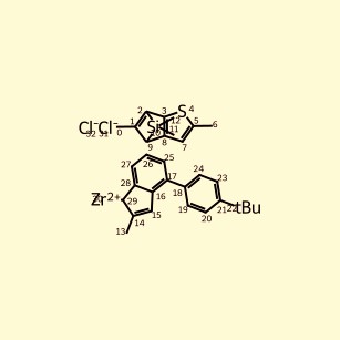 CC1=C2c3sc(C)cc3C1[Si]2(C)C.CC1=Cc2c(-c3ccc(C(C)(C)C)cc3)cccc2[CH]1[Zr+2].[Cl-].[Cl-]